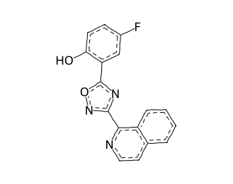 Oc1ccc(F)cc1-c1nc(-c2nccc3ccccc23)no1